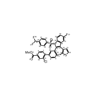 COC(=O)c1ccc(-c2cccc(-c3c(-c4ccsc4C#N)c4cc(F)ccc4n3S(=O)(=O)c3ccc(C(F)F)cc3)c2)c(Cl)c1